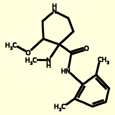 CNC1(C(=O)Nc2c(C)cccc2C)CCNCC1OC